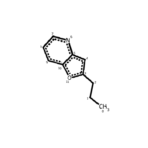 CCCc1cc2ncccc2o1